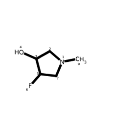 CN1CC(O)C(F)C1